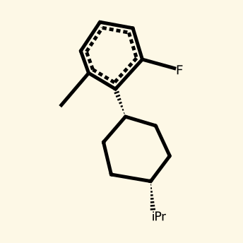 Cc1cccc(F)c1[C@H]1CC[C@@H](C(C)C)CC1